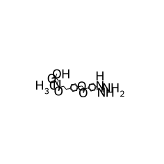 CN(CC(=O)O)C(=O)CCc1ccc(OC(=O)c2ccc(NC(=N)N)cc2)cc1